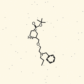 CCCN(CCOCC1CN(C(=O)OC(C)(C)C)CCN1)Cc1ccccc1